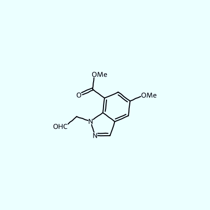 COC(=O)c1cc(OC)cc2cnn(CC=O)c12